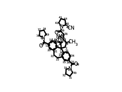 C[C@@H](CC1(c2nnn[nH]2)c2ccc(C(=O)N3CCCC3)cc2CCc2cc(C(=O)N3CCCC3)ccc21)NCC(=O)N1CCC[C@H]1C#N